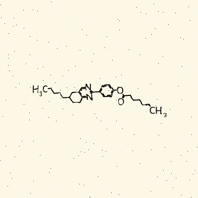 CCCCCCC(=O)Oc1ccc(-c2ncc3c(n2)CCC(CCCCC)C3)cc1